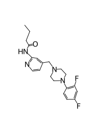 CCCC(=O)Nc1cc(CN2CCN(c3ccc(F)cc3F)CC2)ccn1